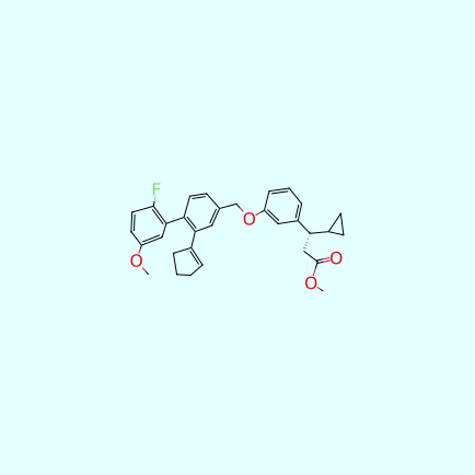 COC(=O)C[C@H](c1cccc(OCc2ccc(-c3cc(OC)ccc3F)c(C3=CCCC3)c2)c1)C1CC1